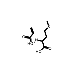 C=CC(=O)O.CSCCC(N)C(=O)O